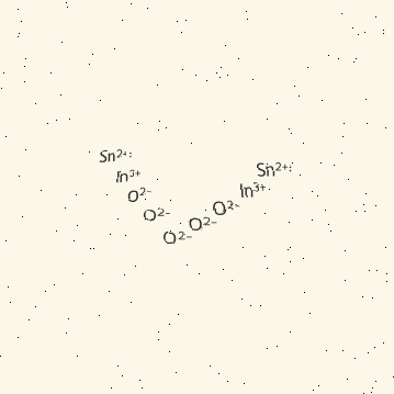 [In+3].[In+3].[O-2].[O-2].[O-2].[O-2].[O-2].[Sn+2].[Sn+2]